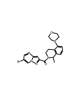 CC1c2cccc(N3CCOCC3)c2CCN1C(=O)c1cc2ncc(Br)cn2n1